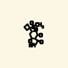 CCCC(=O)C1C(=O)CC(C2(S(C)(=O)=O)CCC2)CC1=O